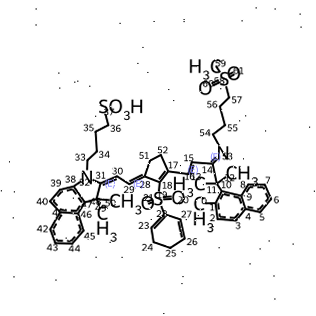 Cc1ccc2ccccc2c1C(C)(C)C(/C=C/C1=C(S(=O)(=O)C2=CCCC=C2)C(=C/C=C2/N(CCCCS(=O)(=O)O)c3ccc4ccccc4c3C2(C)C)/CC1)=N/CCCCS(C)(=O)=O